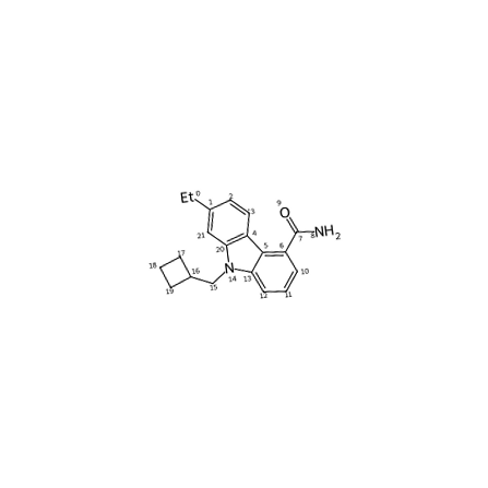 CCc1c[c]c2c3c(C(N)=O)cccc3n(CC3CCC3)c2c1